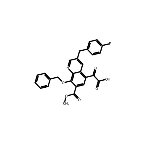 COC(=O)c1cc(C(=O)C(=O)O)c2cc(Cc3ccc(F)cc3)cnc2c1OCc1ccccc1